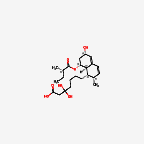 CC[C@H](C)C(=O)O[C@@H]1C[C@H](O)C=C2C=C[C@H](C)[C@H](CCCCC(O)(O)CC(=O)O)[C@H]21